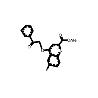 COC(=O)c1cc(OCC(=O)c2ccccc2)c2cc(F)ccc2n1